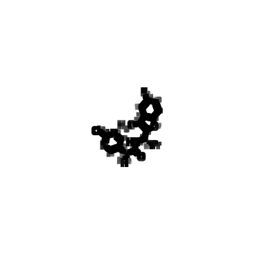 [2H]N(C(=O)N[C@H](c1oc2ccc(F)cc2c1C)C(C)C)c1cnc(Cl)nc1